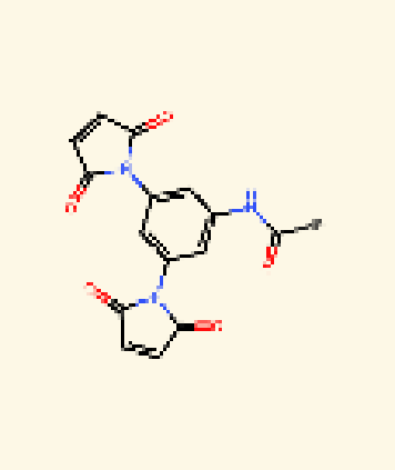 CC(C)C(=O)Nc1cc(N2C(=O)C=CC2=O)cc(N2C(=O)C=CC2=O)c1